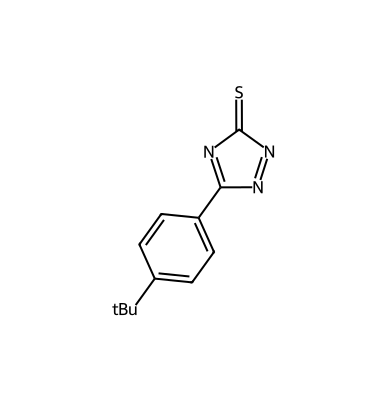 CC(C)(C)c1ccc(C2=NC(=S)N=N2)cc1